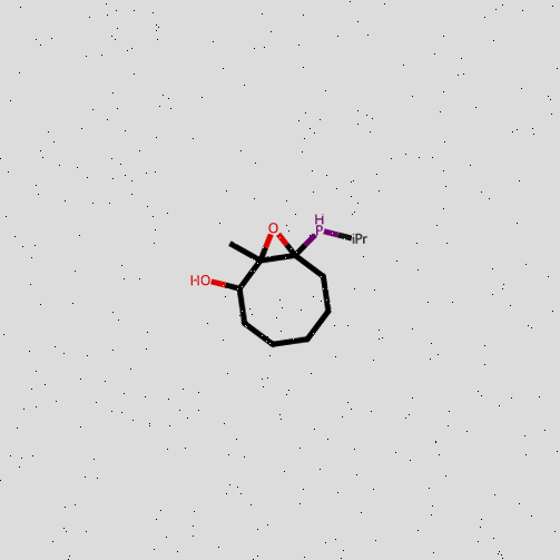 CC(C)PC12CCCCCC(O)C1(C)O2